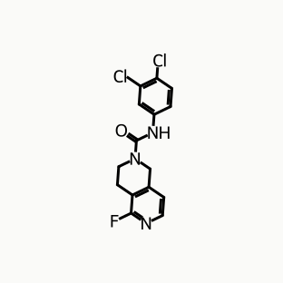 O=C(Nc1ccc(Cl)c(Cl)c1)N1CCc2c(ccnc2F)C1